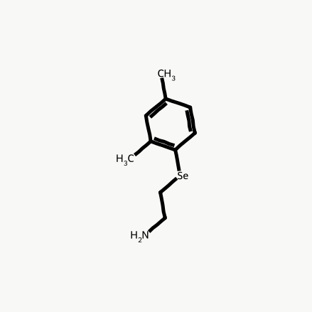 Cc1ccc([Se]CCN)c(C)c1